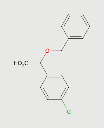 O=C(O)C(OCc1ccccc1)c1ccc(Cl)cc1